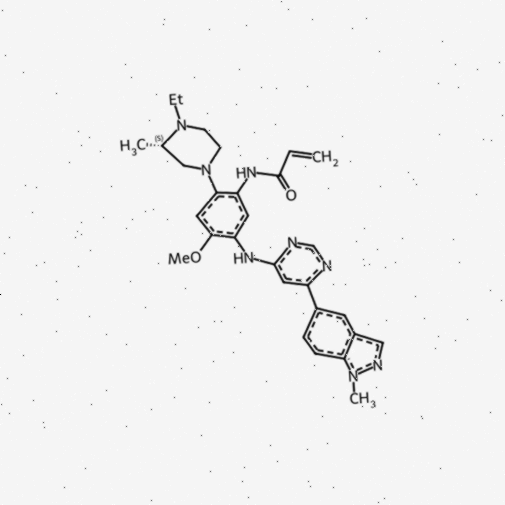 C=CC(=O)Nc1cc(Nc2cc(-c3ccc4c(cnn4C)c3)ncn2)c(OC)cc1N1CCN(CC)[C@@H](C)C1